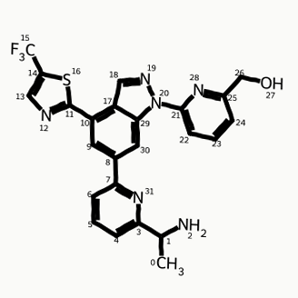 CC(N)c1cccc(-c2cc(-c3ncc(C(F)(F)F)s3)c3cnn(-c4cccc(CO)n4)c3c2)n1